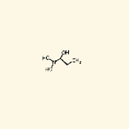 CCC(O)N(O)O